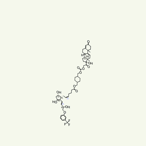 CC12CCC(=O)C=C1CC[C@@H]1C2=CCC2(C)[C@H]1CC[C@]2(O)C(=O)COC(=O)OCC1CCC(COC(=O)CCC/C=C\C[C@@H]2[C@@H](/C=C/[C@@H](O)COc3cccc(C(F)(F)F)c3)[C@H](O)C[C@@H]2O)CC1